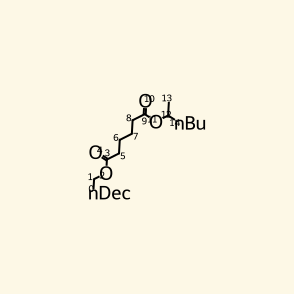 CCCCCCCCCCCOC(=O)CCCCC(=O)OC(C)CCCC